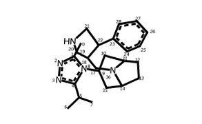 Cc1nnc(C(C)C)n1C1CC2CCC(C1)N2CC1CNCC1c1ccccc1